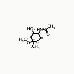 COC1(C)CC(O)C(NC(C)=O)CO1